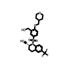 C#C[C@H]1CCc2cc(C(F)(F)F)ccc2N1S(=O)(=O)c1ccc(OCC2CCOCC2)c(CO)c1